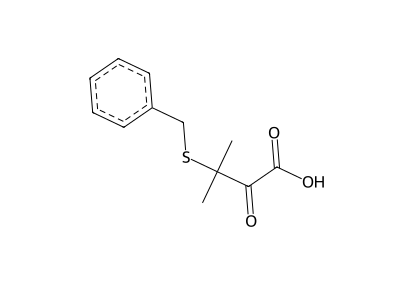 CC(C)(SCc1ccccc1)C(=O)C(=O)O